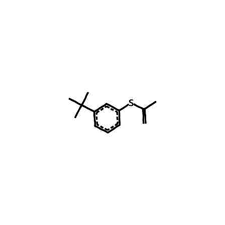 C=C(C)Sc1cccc(C(C)(C)C)c1